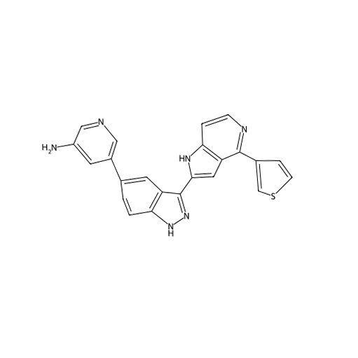 Nc1cncc(-c2ccc3[nH]nc(-c4cc5c(-c6ccsc6)nccc5[nH]4)c3c2)c1